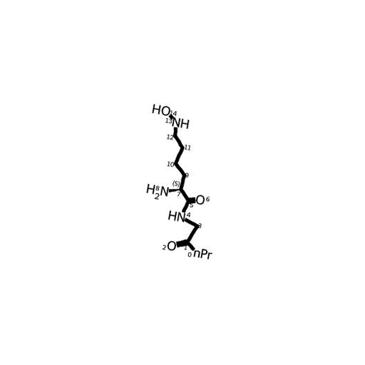 CCCC(=O)CNC(=O)[C@@H](N)CCCCNO